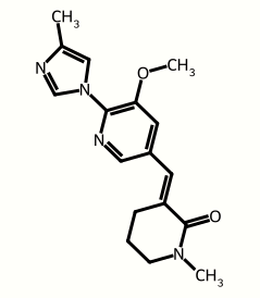 COc1cc(/C=C2\CCCN(C)C2=O)cnc1-n1cnc(C)c1